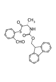 C[C@H](NC(=O)OCC1c2ccccc2-c2ccccc21)C(=O)Sc1ccccc1C=O